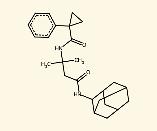 CC(C)(CC(=O)NC1C2CC3CC(C2)CC1C3)NC(=O)C1(c2ccccc2)CC1